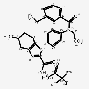 CC1CCc2sc(C(N)=O)nc2C1.NCc1cccc(C(=O)N(CC(=O)O)c2ccccc2)c1.O=C(O)C(F)(F)F